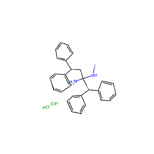 Cl.Cl.NC(CC(c1ccccc1)c1ccccc1)(NI)C(c1ccccc1)c1ccccc1